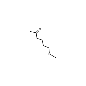 CNCCCCC(C)=O